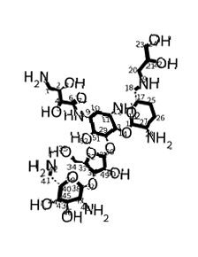 NC[C@@H](O)C(O)C(=O)N[C@@H]1C[C@H](N)[C@@H](O[C@H]2O[C@H](CNCC(O)CO)CC[C@H]2N)[C@H](O[C@@H]2O[C@H](CO)[C@@H](O[C@H]3O[C@@H](CN)[C@@H](O)[C@H](O)[C@H]3N)[C@H]2O)[C@H]1O